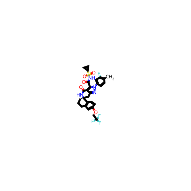 Cc1ccc(-n2nc3c(c2C(=O)NS(=O)(=O)C2CC2)C(=O)N[C@@]2(CCCc4cc(OCC(F)(F)F)ccc42)C3)cc1F